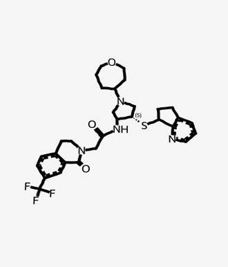 O=C(CN1CCc2ccc(C(F)(F)F)cc2C1=O)NC1CN(C2CCCOCC2)C[C@@H]1SC1CCc2cccnc21